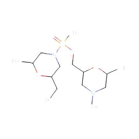 CC1CN(C(C)(C)C)CC(COP(C)(=O)N2CC(C)OC(CC(C)(C)C)C2)O1